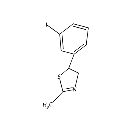 CC1=NCC(c2cccc(I)c2)S1